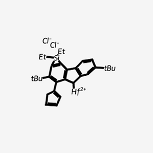 CC[Si]1(CC)c2c3c(c(C4=CC=CC4)c(C(C)(C)C)c21)[CH]([Hf+2])c1cc(C(C)(C)C)ccc1-3.[Cl-].[Cl-]